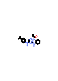 C=CC(=O)N[C@H]1CCCC[C@H]1Nc1nncc(Nc2ccc(C(C)C)cc2)n1